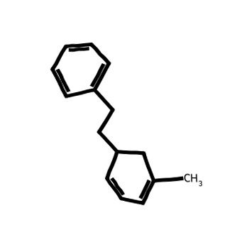 CC1=CC=CC(CCc2ccccc2)C1